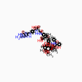 CC(=O)C[C@@]12CO[C@@H]1C[C@H](O)[C@@]1(C)C(=O)[C@H](OC(C)=O)C3=C(C)[C@@H](OC(=O)[C@H](O)[C@@H](NC(=O)c4ccccc4)c4ccccc4)C[C@@](O)([C@@H](OC(=O)c4ccc([Si](C)(C)O[Si](C)(CCCC(=O)O)c5ccc(NC(=O)CC[C@H](NC(=O)c6ccc(NCc7cnc8nc(N)[nH]c(=O)c8n7)cc6)C(=O)O)cc5)cc4)[C@H]21)C3(C)C